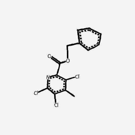 Cc1c(Cl)c(Cl)nc(C(=O)OCc2ccccc2)c1Cl